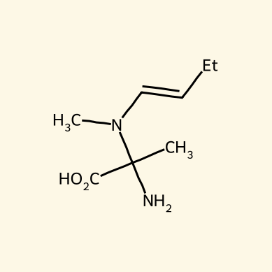 CCC=CN(C)C(C)(N)C(=O)O